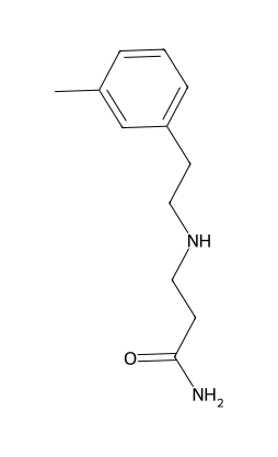 Cc1cccc(CCNCCC(N)=O)c1